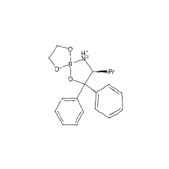 CC(C)[C@@H]1[NH2+][B-]2(OCCO2)OC1(c1ccccc1)c1ccccc1